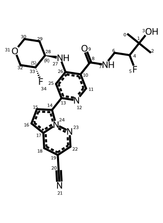 CC(C)(O)C(F)CNC(=O)c1cnc(-c2ccc3cc(C#N)cnn23)cc1N[C@@H]1CCOC[C@H]1F